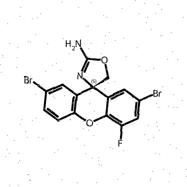 NC1=N[C@@]2(CO1)c1cc(Br)ccc1Oc1c(F)cc(Br)cc12